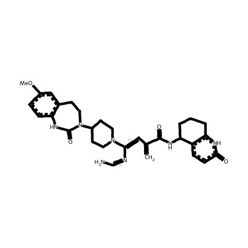 C=C(/C=C(\N=C/N)N1CCC(N2CCc3cc(OC)ccc3NC2=O)CC1)C(=O)NC1CCCc2[nH]c(=O)ccc21